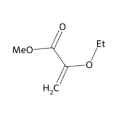 C=C(OCC)C(=O)OC